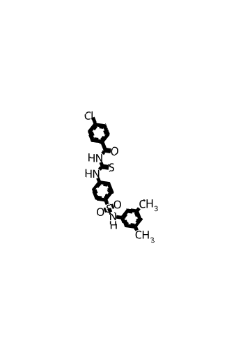 Cc1cc(C)cc(NS(=O)(=O)c2ccc(NC(=S)NC(=O)c3ccc(Cl)cc3)cc2)c1